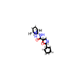 O=C(N[C@@H]1C[C@H]2CC[C@@H]1N2)c1cnc(-c2ccccc2)o1